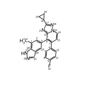 Cc1cc(-c2c(-c3ccc(F)cc3)ccn3nc(C4CC4)nc23)cc2cn[nH]c12